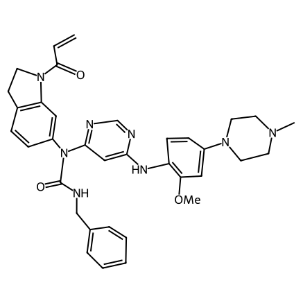 C=CC(=O)N1CCc2ccc(N(C(=O)NCc3ccccc3)c3cc(Nc4ccc(N5CCN(C)CC5)cc4OC)ncn3)cc21